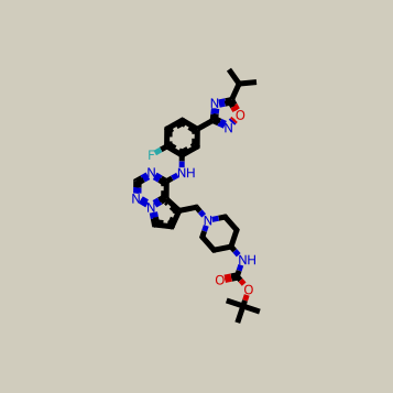 CC(C)c1nc(-c2ccc(F)c(Nc3ncnn4ccc(CN5CCC(NC(=O)OC(C)(C)C)CC5)c34)c2)no1